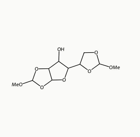 COC1OCC(C2OC3OC(OC)OC3C2O)O1